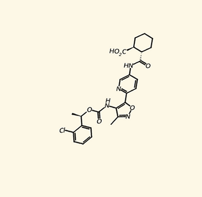 Cc1noc(-c2ccc(NC(=O)[C@H]3CCCC[C@@H]3C(=O)O)cn2)c1NC(=O)O[C@H](C)c1ccccc1Cl